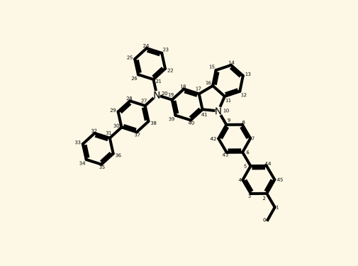 CCc1ccc(-c2ccc(-n3c4ccccc4c4cc(N(c5ccccc5)c5ccc(-c6ccccc6)cc5)ccc43)cc2)cc1